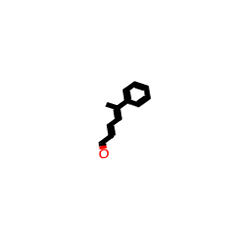 CC(=CC=CC=O)c1ccccc1